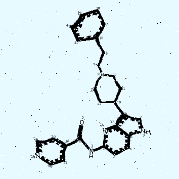 O=C(Nc1ccc2[nH]cc(C3CCN(CCc4ccccc4)CC3)c2n1)c1ccncc1